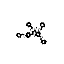 O=C1c2c(cc(OCc3ccccc3)cc2OCc2ccccc2)N=C(c2ccc(OCc3ccccc3)cc2)C1OCc1ccccc1